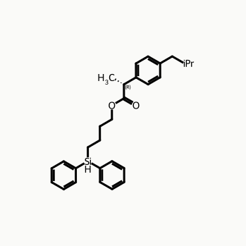 CC(C)Cc1ccc([C@@H](C)C(=O)OCCCC[SiH](c2ccccc2)c2ccccc2)cc1